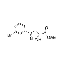 COC(=O)c1cc(-c2cccc(Br)c2)n[nH]1